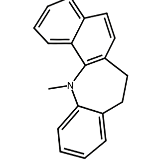 CN1c2ccccc2CCc2ccc3ccccc3c21